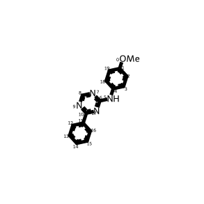 COc1ccc(Nc2ncnc(-c3ccccc3)n2)cc1